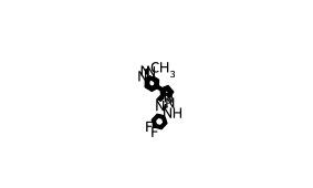 Cn1nnc2ccc(-c3ccn4nc(NC5CCC(F)(F)CC5)ncc34)cc21